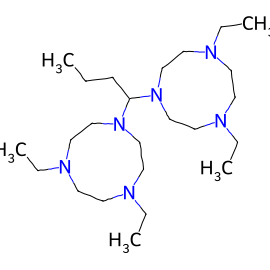 CCCC(N1CCN(CC)CCN(CC)CC1)N1CCN(CC)CCN(CC)CC1